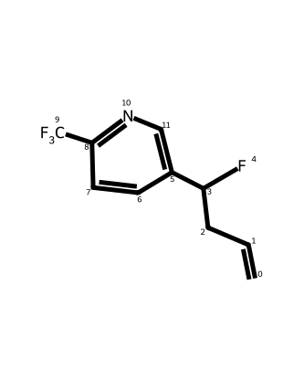 C=CCC(F)c1ccc(C(F)(F)F)nc1